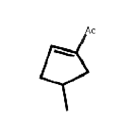 CC(=O)C1=CCC(C)C1